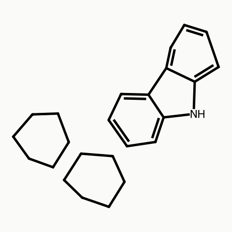 C1CCCCC1.C1CCCCC1.c1ccc2c(c1)[nH]c1ccccc12